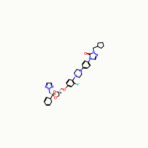 O=c1n(-c2ccc(N3CCN(c4ccc(OC[C@@H]5CO[C@@](Cn6nccn6)(C6C=CC=CC6)O5)cc4F)CC3)cc2)cnn1CC1CCCC1